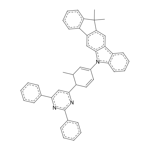 CC1C=C(n2c3ccccc3c3cc4c(cc32)-c2ccccc2C4(C)C)C=CC1c1cc(-c2ccccc2)nc(-c2ccccc2)n1